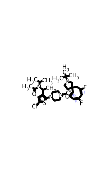 CC(=O)N(C(C)C)C(C)c1cc(Cl)sc1N1CCN(C(=O)[C@@H]2CN(C(C)(C)C)CC23/C=C/C=C(F)\C=C(\F)C3)CC1